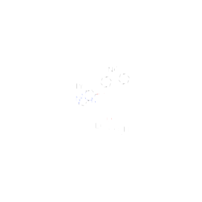 CCCc1c(Cc2ccc(-c3ccccc3C#N)cc2)c(=O)n([C@H]2CC[C@H](OC(CC)C(=O)O)CC2)c2ccnn12